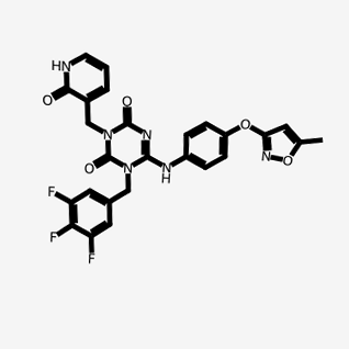 Cc1cc(Oc2ccc(Nc3nc(=O)n(Cc4ccc[nH]c4=O)c(=O)n3Cc3cc(F)c(F)c(F)c3)cc2)no1